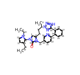 CCCCc1cn(-c2c(CC)ccn2CC)c(=O)n1Cc1ccc(-c2ccccc2-c2nnn[nH]2)nc1